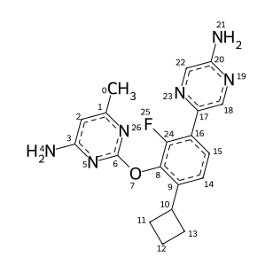 Cc1cc(N)nc(Oc2c(C3CCC3)ccc(-c3cnc(N)cn3)c2F)n1